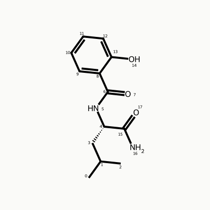 CC(C)C[C@H](NC(=O)c1ccccc1O)C(N)=O